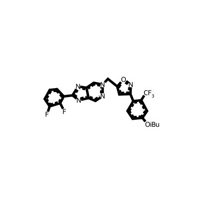 CC(C)COc1ccc(-c2cc(Cn3cc4nc(-c5cccc(F)c5F)nc-4cn3)on2)c(C(F)(F)F)c1